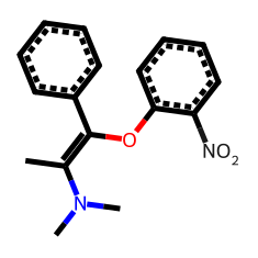 CC(=C(Oc1ccccc1[N+](=O)[O-])c1ccccc1)N(C)C